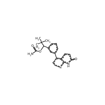 CC(C)(C)C(OC(N)=O)c1cccc(-c2ccnc3[nH]c(=O)ccc23)c1